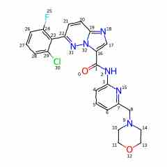 O=C(Nc1cccc(CN2CCOCC2)n1)c1cnc2ccc(-c3c(F)cccc3Cl)nn12